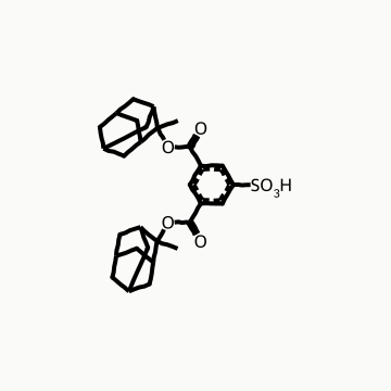 CC1(OC(=O)c2cc(C(=O)OC3(C)C4CC5CC(C4)CC3C5)cc(S(=O)(=O)O)c2)C2CC3CC(C2)CC1C3